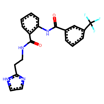 O=C(Nc1ccccc1C(=O)NCCc1ncc[nH]1)c1cccc(C(F)(F)F)c1